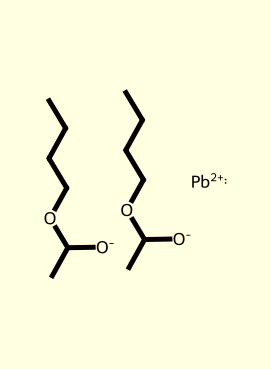 CCCCOC(C)[O-].CCCCOC(C)[O-].[Pb+2]